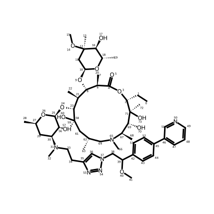 CC[C@H]1OC(=O)[C@H](C)[C@@H](O[C@H]2C[C@@](C)(OC)[C@@H](O)[C@H](C)O2)[C@H](C)[C@@H](O[C@@H]2O[C@H](C)C[C@H](N(C)CCc3cn(CC(OC)c4ccc(-c5cccnc5)cc4)nn3)[C@H]2O)[C@](C)(O)C[C@@H](C)CN(C)[C@H](C)[C@@H](O)[C@]1(C)O